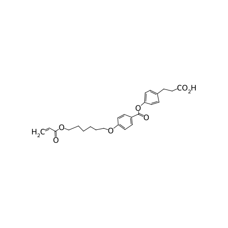 C=CC(=O)OCCCCCCOc1ccc(C(=O)Oc2ccc(CCC(=O)O)cc2)cc1